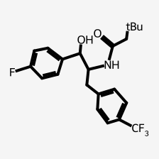 CC(C)(C)CC(=O)NC(Cc1ccc(C(F)(F)F)cc1)C(O)c1ccc(F)cc1